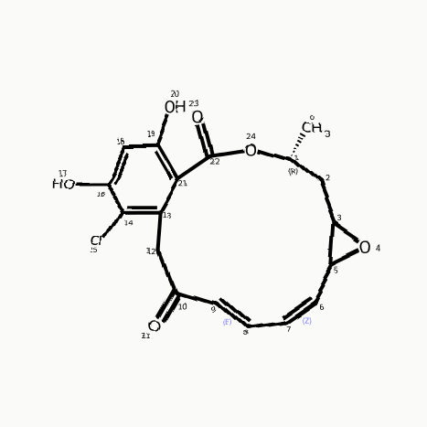 C[C@@H]1CC2OC2/C=C\C=C\C(=O)Cc2c(Cl)c(O)cc(O)c2C(=O)O1